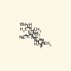 C=C(CC(C)(C)C)NCC(C)NC(/N=C(\C)Nc1cnc(C)c(F)c1)=C(F)/C=C/C#N